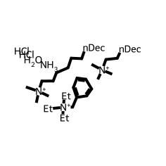 CCCCCCCCCCCCCCCC[N+](C)(C)C.CCCCCCCCCCCC[N+](C)(C)C.CC[N+](CC)(CC)Cc1ccccc1.Cl.Cl.N.O